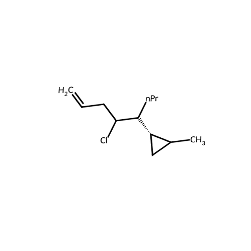 C=CCC(Cl)C(CCC)[C@H]1CC1C